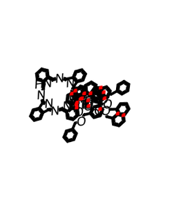 O=C(OCc1ccccc1)c1cccc(-c2ccccc2)c1[O][Ti]([F])([F])([F])([F])([F])([F])([F])([F])([F])([F])([F])([F])([O]c1c(C(=O)OCc2ccccc2)cccc1-c1ccccc1)([O]c1c(C(=O)OCc2ccccc2)cccc1-c1ccccc1)([O]c1c(C(=O)OCc2ccccc2)cccc1-c1ccccc1)[c]1cccc2c3nc4nc(nc5[nH]c(nc6nc(nc([nH]3)c12)-c1ccccc1-6)c1ccccc51)-c1ccccc1-4